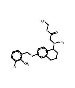 CCOC(=O)CN(C)C1CCCc2cc(OCc3cccc(Br)c3C)ccc21